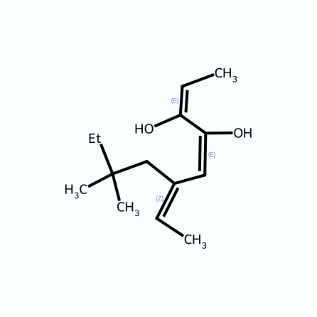 C\C=C(/C=C(O)\C(O)=C/C)CC(C)(C)CC